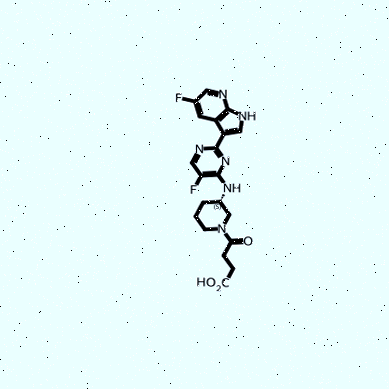 O=C(O)CCC(=O)N1CCC[C@H](Nc2nc(-c3c[nH]c4ncc(F)cc34)ncc2F)C1